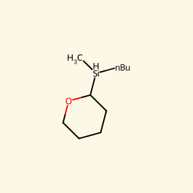 CCCC[SiH](C)C1CCCCO1